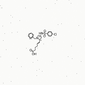 O=C(O)CCCC=C[C@@H]1C[C@@H](NS(=O)(=O)c2ccc(Cl)cc2)CN1Cc1ccccn1